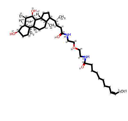 CCCCCCCC/C=C\CCCCCCCC(=O)NCCOCCNC(=O)CC[C@@H](C)C1CC[C@H]2[C@@H]3[C@H](O)[C@H](CC)[C@@H]4C[C@H](O)CC[C@]4(C)[C@H]3CC[C@]12C